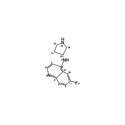 Fc1ccc2nccc(N[C@@H]3CCNC3)c2c1